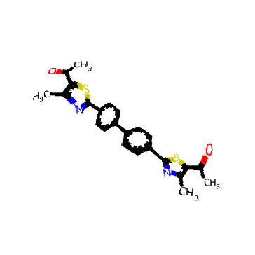 CC(=O)c1sc(-c2ccc(-c3ccc(-c4nc(C)c(C(C)=O)s4)cc3)cc2)nc1C